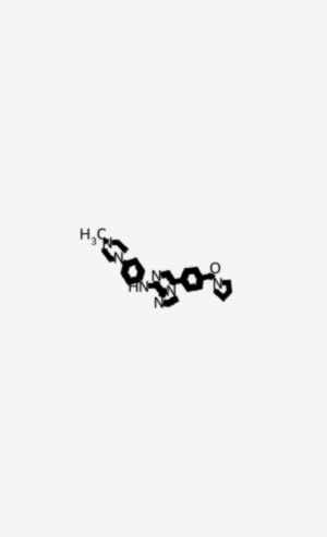 CN1CCN(c2ccc(Nc3ncc(-c4ccc(C(=O)N5CCCC5)cc4)n4ccnc34)cc2)CC1